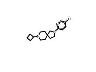 Clc1ccc(N2CCC3(CCN(C4CCC4)CC3)C2)nn1